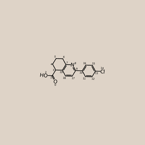 O=C(O)C1CCCc2nc(-c3ccc(Cl)cc3)ccc21